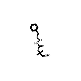 CC(C)(C=C=O)OC(=O)NNOCc1ccccc1